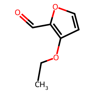 CCOc1ccoc1C=O